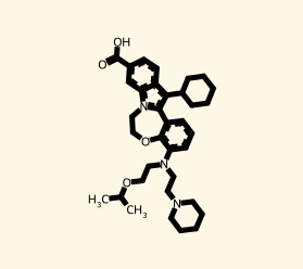 CC(C)OCCN(CCN1CCCCC1)c1cccc2c1OCCn1c-2c(C2CCCCC2)c2ccc(C(=O)O)cc21